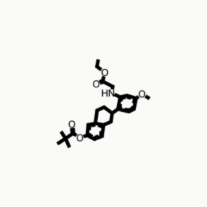 CCOC(=O)CNc1cc(OC)ccc1C1CCc2cc(OC(=O)C(C)(C)C)ccc2C1